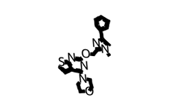 Cn1cc(-c2ccccc2)nc1COc1nc(N2CCOCC2)c2ccsc2n1